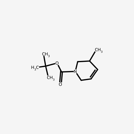 CC1C=CCN(C(=O)OC(C)(C)C)C1